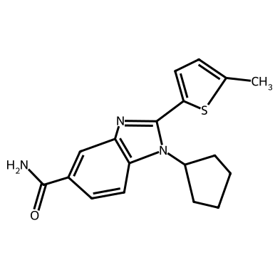 Cc1ccc(-c2nc3cc(C(N)=O)ccc3n2C2CCCC2)s1